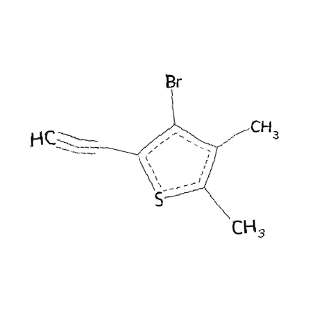 C#Cc1sc(C)c(C)c1Br